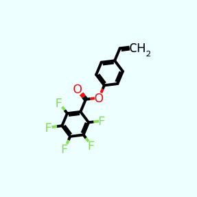 C=Cc1ccc(OC(=O)c2c(F)c(F)c(F)c(F)c2F)cc1